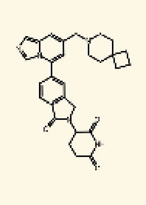 O=C1CCC(N2Cc3cc(-c4cc(CN5CCC6(CCC6)CC5)cc5cncn45)ccc3C2=O)C(=O)N1